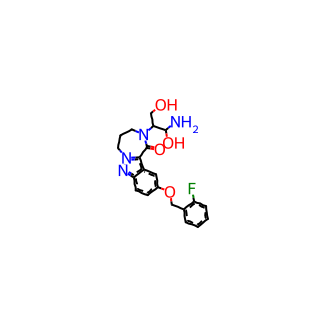 NC(O)C(CO)N1CCCn2nc3ccc(OCc4ccccc4F)cc3c2C1=O